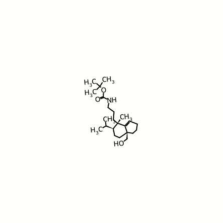 CC(C)[C@@H]1CC[C@@]2(CO)CCCC=C2[C@@]1(C)CCCNC(=O)OC(C)(C)C